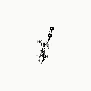 CCCN/C(N)=N/c1nc(CSCCN/C(=N/C/C=C/c2ccc(OCc3ccccc3)cc2)NC#N)cs1.Cl